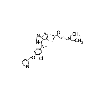 CCN(CC)CC=CC(=O)N1CCc2c(sc3ncnc(Nc4ccc(OCc5cccnc5)c(Cl)c4)c23)C1